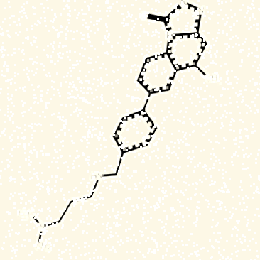 Cc1cc2n[nH]c(=O)n2c2ccc(-c3ccc(CNCCCN(C)C)cc3)cc12